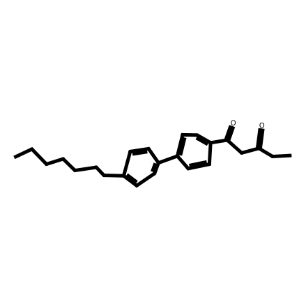 CCCCCCCc1ccc(-c2ccc(C(=O)CC(=O)CC)cc2)cc1